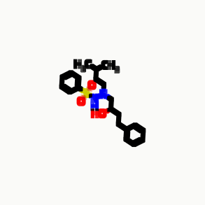 CC(C)CCN(C[C@H](O)CCc1ccccc1)NS(=O)(=O)c1ccccc1